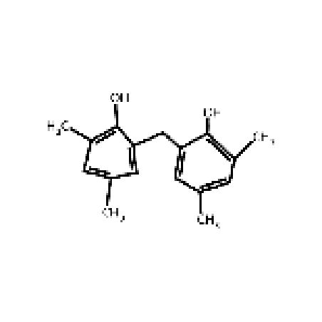 Cc1cc(C)c(O)c(Cc2cc(C)cc(C)c2O)c1